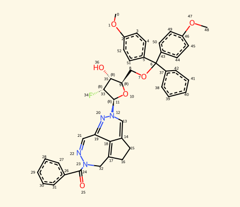 COc1ccc(C(OC[C@H]2O[C@@H](N3C=C4CCC5=C4C(=N3)C=NN(C(=O)c3ccccc3)C5)[C@H](F)[C@@H]2O)(c2ccccc2)c2ccc(OC)cc2)cc1